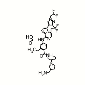 CCc1cc(Nc2nccn3c(-c4cn(CC(F)F)nc4C(F)(F)F)cnc23)ccc1C(=O)NCC(=O)N1CCC(CN)C1.O=CO